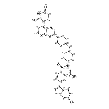 CC(C)Nc1cc(-c2ccc3cc(C#N)cnn23)ncc1C(=O)N[C@H]1CC[C@H](CN2CCC(c3ccc4c(N5CCC(=O)NC5=O)cncc4c3)CC2)CC1